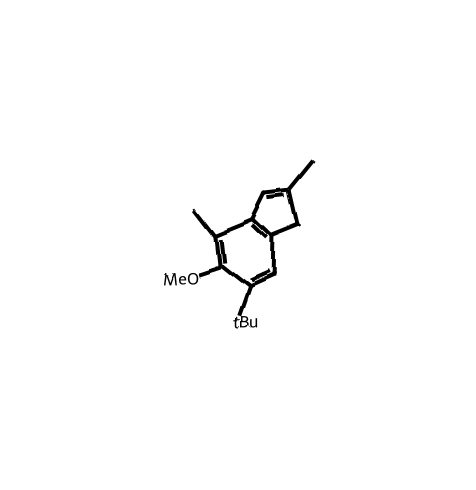 COc1c(C(C)(C)C)cc2c(c1C)C=C(C)C2